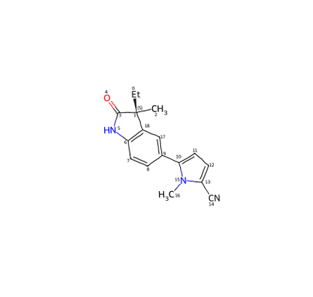 CC[C@]1(C)C(=O)Nc2ccc(-c3ccc(C#N)n3C)cc21